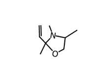 C=CC1(C)OCC(C)N1C